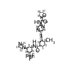 Cc1ccc(C(=O)Nc2cc(-n3ccnc3)cc(C(F)(F)F)c2)cc1C#Cc1cnc(NC(=O)[C@H]2CCCO2)cn1